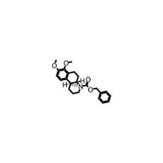 COc1ccc2c(c1OC)CC[C@H]1[C@H]2CCCN1C(=O)OCc1ccccc1